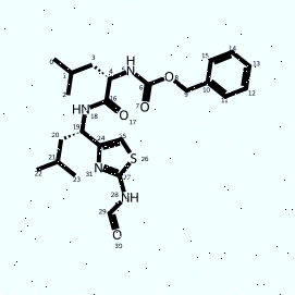 CC(C)C[C@H](NC(=O)OCc1ccccc1)C(=O)N[C@@H](CC(C)C)c1csc(NC=O)n1